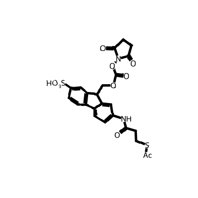 CC(=O)SCCC(=O)Nc1ccc2c(c1)C(COC(=O)ON1C(=O)CCC1=O)c1cc(S(=O)(=O)O)ccc1-2